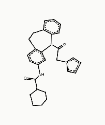 O=C(Nc1ccc2c(c1)N(C(=O)Cn1cccc1)c1ccccc1CC2)N1CCCCC1